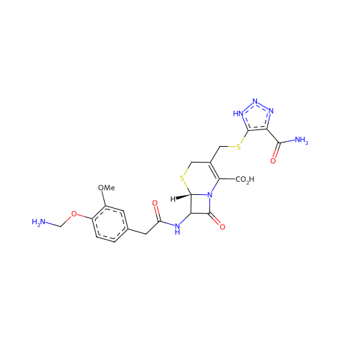 COc1cc(CC(=O)NC2C(=O)N3C(C(=O)O)=C(CSc4[nH]nnc4C(N)=O)CS[C@@H]23)ccc1OCN